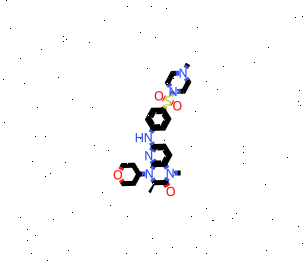 C[C@@H]1C(=O)N(C)c2ccc(Nc3ccc(S(=O)(=O)N4CCN(C)CC4)cc3)nc2N1C1CCOCC1